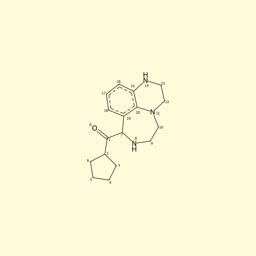 O=C(C1CCCC1)C1NCCN2CCNc3cccc1c32